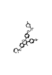 CC1=C(c2ccc(Br)cc2)C(c2ccc(OC[C@H](C)N3CCC(C)C3)cc2)Oc2ccc(OC3CCCCO3)cc21